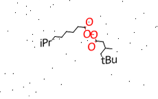 CC(C)CCCCCC(=O)OOC(=O)CC(C)CC(C)(C)C